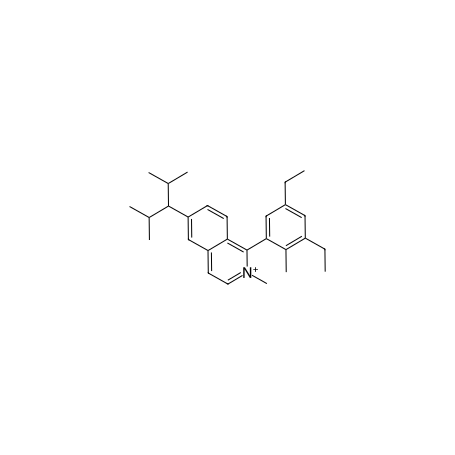 CCc1cc(CC)c(C)c(-c2c3ccc(C(C(C)C)C(C)C)cc3cc[n+]2C)c1